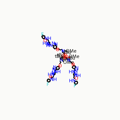 COCCN(CCCOc1ccc2c(Nc3cc(CC(=O)Nc4cccc(F)c4)[nH]n3)ncnc2c1)CC(OP(=O)(OC(CN(CCCOc1ccc2c(Nc3cc(CC(=O)Nc4cccc(F)c4)[nH]n3)ncnc2c1)CCOC)(C(C)(C)C)C(C)(C)C)OC(CN(CCCOc1ccc2c(Nc3cc(CC(=O)Nc4cccc(F)c4)[nH]n3)ncnc2c1)CCOC)(C(C)(C)C)C(C)(C)C)(C(C)(C)C)C(C)(C)C